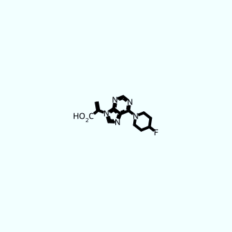 C=C(C(=O)O)n1cnc2c(N3CCC(F)CC3)ncnc21